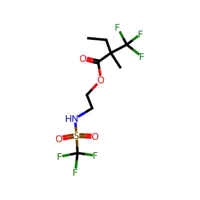 CCC(C)(C(=O)OCCNS(=O)(=O)C(F)(F)F)C(F)(F)F